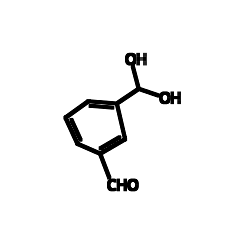 O=Cc1cccc(C(O)O)c1